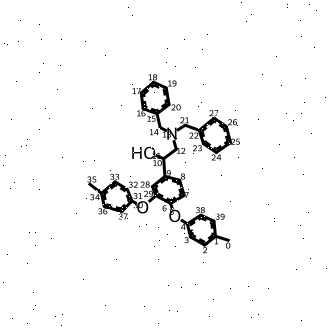 Cc1ccc(Oc2ccc(C(O)CN(Cc3ccccc3)Cc3ccccc3)cc2Oc2ccc(C)cc2)cc1